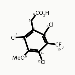 COc1c(Cl)c(CC(=O)O)c(Cl)c(C(F)(F)F)c1Cl